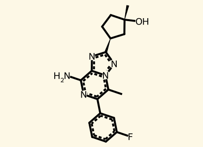 Cc1c(-c2cccc(F)c2)nc(N)c2nc([C@H]3CC[C@](C)(O)C3)nn12